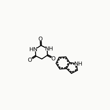 O=C1CC(=O)NC(=O)N1.c1ccc2[nH]ccc2c1